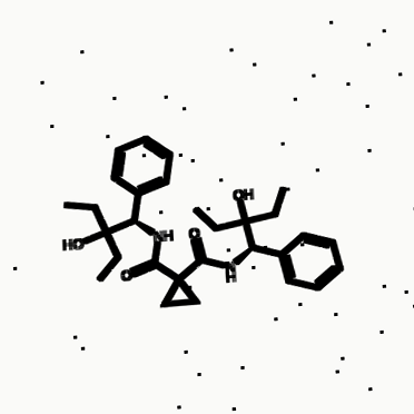 CCC(O)(CC)[C@H](NC(=O)C1(C(=O)N[C@H](c2ccccc2)C(O)(CC)CC)CC1)c1ccccc1